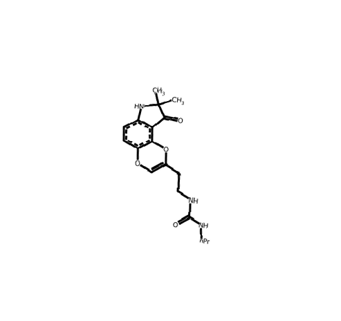 CCCNC(=O)NCCC1=COc2ccc3c(c2O1)C(=O)C(C)(C)N3